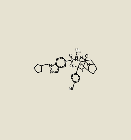 CN([C@H](C(=O)N1C2CCC1CC(N)C2)C(F)(F)c1ccc(Br)cc1)S(=O)(=O)c1ccc2c(cnn2CC2CCCC2)c1